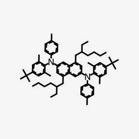 CCCCC(CC)Cc1cc(N(c2ccc(C)cc2)c2c(C)cc(C(C)(C)C)cc2C)cc2c(CC(CC)CCCC)cc(N(c3ccc(C)cc3)c3c(C)cc(C(C)(C)C)cc3C)cc12